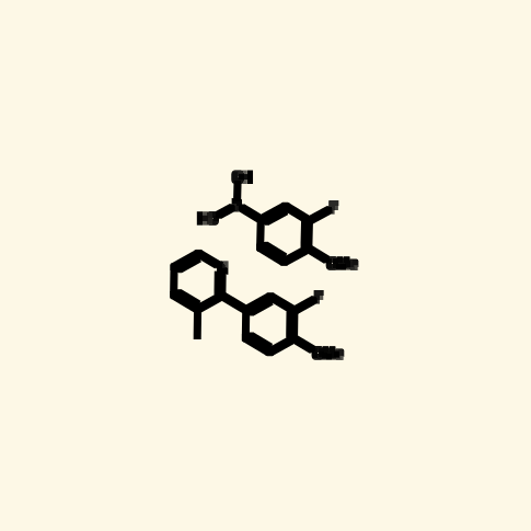 COc1ccc(-c2ncccc2C)cc1F.COc1ccc(B(O)O)cc1F